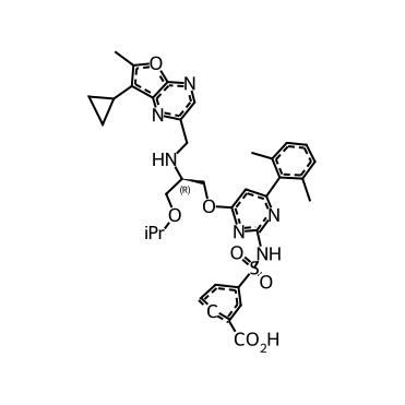 Cc1cccc(C)c1-c1cc(OC[C@@H](COC(C)C)NCc2cnc3oc(C)c(C4CC4)c3n2)nc(NS(=O)(=O)c2cccc(C(=O)O)c2)n1